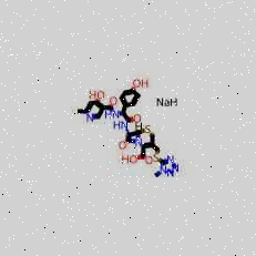 Cc1cc(O)c(C(=O)NC(C(=O)N[C@@H]2C(=O)N3C(C(=O)O)=C(CSc4nnnn4C)CS[C@H]23)c2ccc(O)cc2)cn1.[NaH]